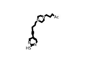 CC(=O)CCCN1CCN(CCCC#CC2=CCN=C(S)N=C2)CC1